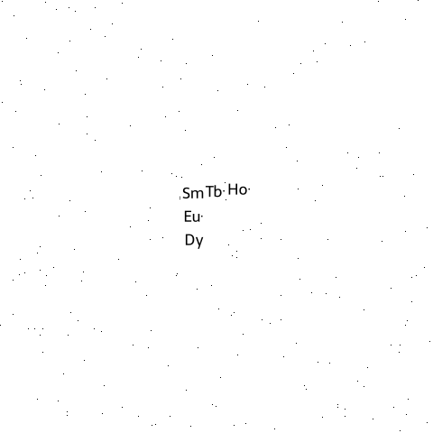 [Dy].[Eu].[Ho].[Sm].[Tb]